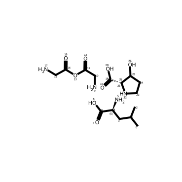 CC(C)C[C@H](N)C(=O)O.NCC(=O)OC(=O)CN.O=C(O)[C@H]1NCCC1O